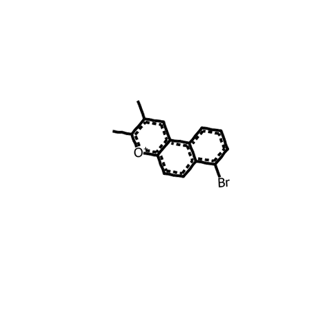 Cc1cc2c(ccc3c(Br)cccc32)[o+]c1C